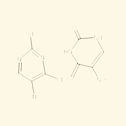 O=[N+]([O-])c1cnc(Cl)nc1Cl.O=c1[nH]cc([N+](=O)[O-])c(=O)[nH]1